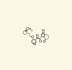 CN1CCCC1CCOc1ccncc1NC(=O)c1c[nH]c2c1C(=O)CCC2